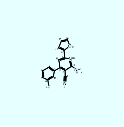 N#Cc1c(-c2cccc(F)c2)cc(-c2ccco2)nc1N